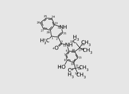 CC1C(C(=O)Nc2cc(O)c(C(C)(C)C)cc2C(C)(C)C)=CNc2ccccc21